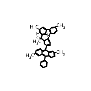 Cc1ccc2c(-c3ccc4c(c3)C(C)(C)c3cc(C)cc5c6cc(C)ccc6n-4c35)c3cc(C)ccc3c(-c3ccccc3)c2c1